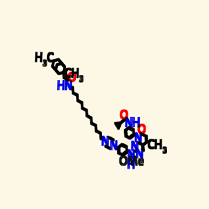 COc1cc(N2CCN(CCCCCCCCCCCCCCNC(=O)CC3(C)CC4CC(C)CC(C4)C3)CC2)ccc1Nc1ncc2c(C)cc(=O)n(-c3cccc(NC(=O)C4CC4)c3)c2n1